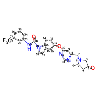 CC1CC(O)CN1Cc1cc(Oc2ccc3c(ccn3C(=O)Nc3cccc(C(F)(F)F)c3)c2)ncn1